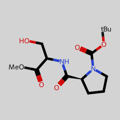 COC(=O)C(CO)NC(=O)[C@@H]1CCCN1C(=O)OC(C)(C)C